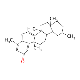 CC1=CC(=O)C=C2C1=CC=C1C2(C)CCC2C3CC(C)CCC3(C)CCC12C